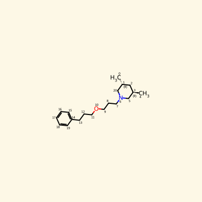 C[C@@H]1C[C@@H](C)CN(CCCOCCCc2ccccc2)C1